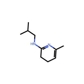 CC1=CCCC(NCC(C)C)=N1